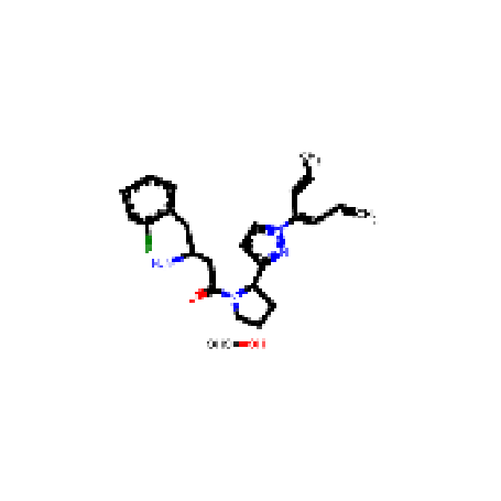 C=CC=C(C=CC)n1ccc(C2CCCN2C(=O)CC(N)Cc2ccccc2F)n1.O=CO